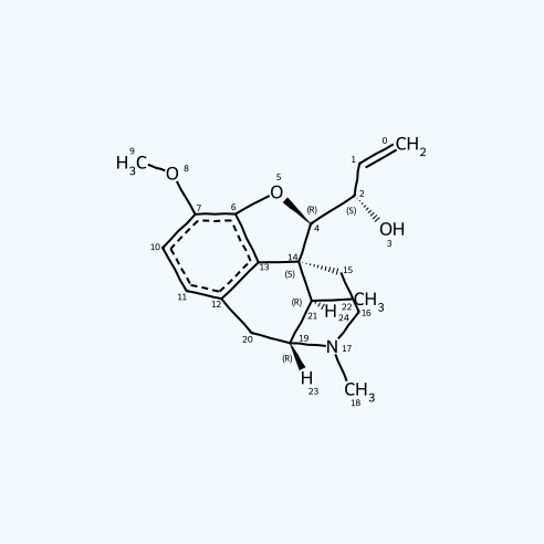 C=C[C@H](O)[C@@H]1Oc2c(OC)ccc3c2[C@@]12CCN(C)[C@H](C3)[C@@H]2C